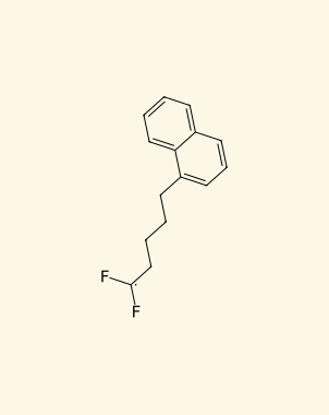 F[C](F)CCCCc1cccc2ccccc12